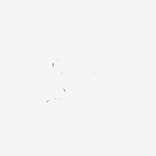 COc1ccc2c3c1O[C@H]1[C@@]4(OC)CC[C@@]5(C[C@@H]4COCc4ccc(C(F)(F)F)cc4)[C@@H](C2)[N+](C)(CC2CC2)CC[C@]315